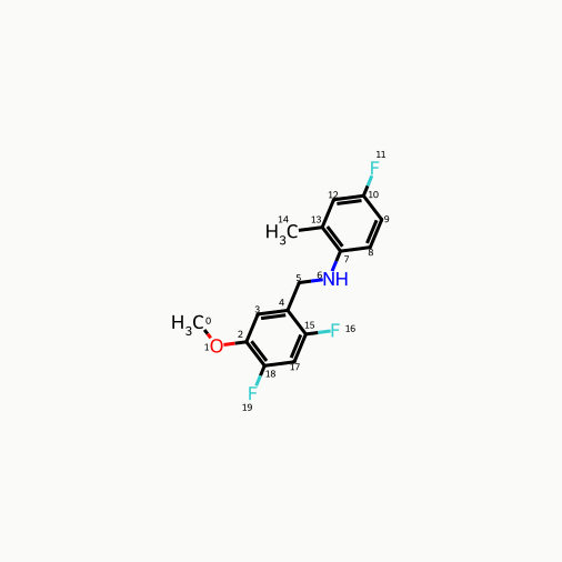 COc1cc(CNc2ccc(F)cc2C)c(F)cc1F